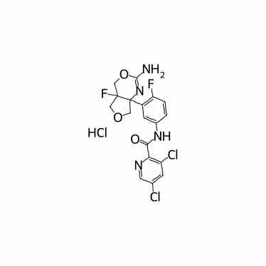 Cl.NC1=NC2(c3cc(NC(=O)c4ncc(Cl)cc4Cl)ccc3F)COCC2(F)CO1